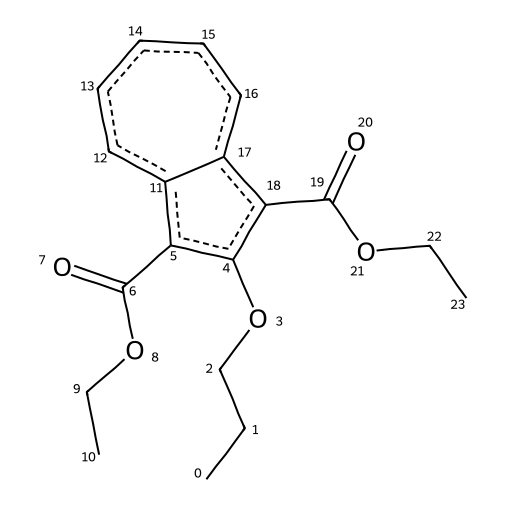 CCCOc1c(C(=O)OCC)c2cccccc-2c1C(=O)OCC